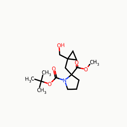 COC(=O)C1(CC2(CO)CC2)CCCN1C(=O)OC(C)(C)C